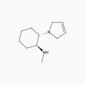 CN[C@H]1CCCC[C@@H]1N1CC=CC1